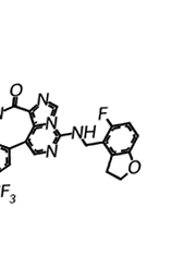 O=C1NCc2ccc(C(F)(F)F)cc2-c2cnc(NCc3c(F)ccc4c3CCO4)n3cnc1c23